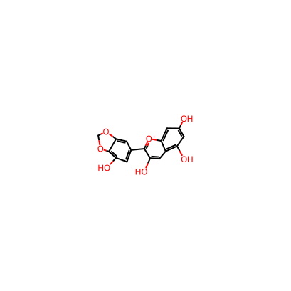 Oc1cc(O)c2cc(O)c(-c3cc(O)c4c(c3)OCO4)[o+]c2c1